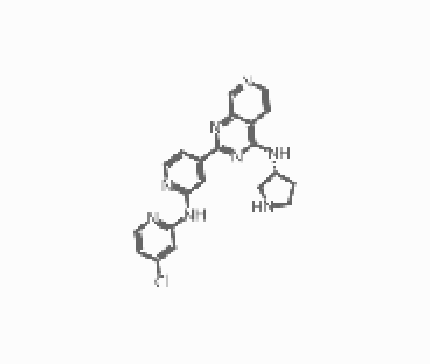 Clc1ccnc(Nc2cc(-c3nc(N[C@@H]4CCNC4)c4ccncc4n3)ccn2)c1